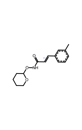 Cc1cccc(/C=C/C(=O)NOC2CCCCO2)c1